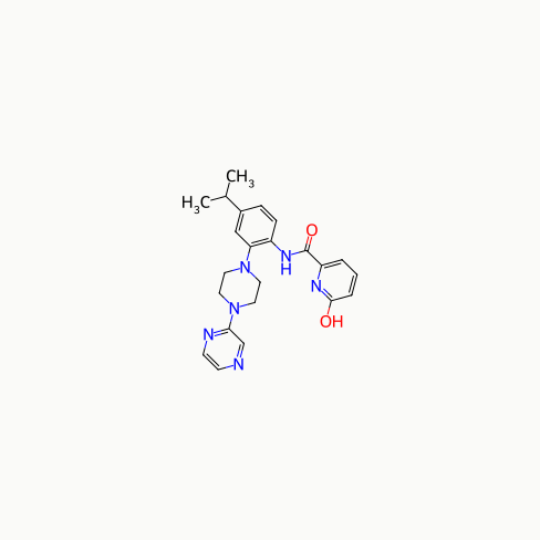 CC(C)c1ccc(NC(=O)c2cccc(O)n2)c(N2CCN(c3cnccn3)CC2)c1